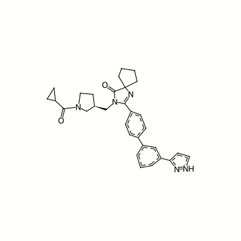 O=C(C1CC1)N1CC[C@@H](CN2C(=O)C3(CCCC3)N=C2c2ccc(-c3cccc(-c4cc[nH]n4)c3)cc2)C1